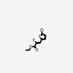 CCOC(=O)C(F)=Cc1ccc(Cl)s1